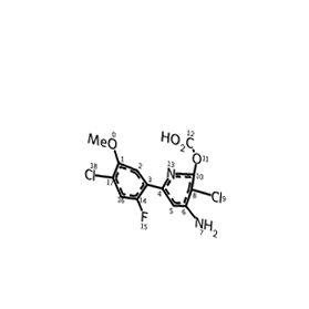 COc1cc(-c2cc(N)c(Cl)c(OC(=O)O)n2)c(F)cc1Cl